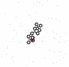 c1ccc(N(c2ccc3c(c2)C2(c4c-3cccc4-n3c4ccccc4c4ccccc43)C3CC4CC(C3)CC2C4)c2cccc3c2-c2ccccc2C3(c2ccccc2)c2ccccc2)cc1